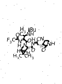 CC(NC(C)(C)C)[C@H](NC(=O)C(F)(F)F)C(=O)N1C[C@H]2[C@@H]([C@H]1C(=O)N[C@H](C#N)C[C@@H]1CCNC1=O)C2(C)C